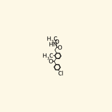 CONC(=O)Cc1cccc(C(=O)c2ccc(Cl)cc2)c1C